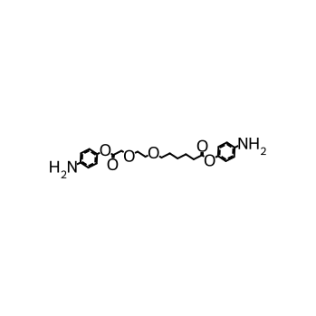 Nc1ccc(OC(=O)CCCCCOCCOCC(=O)Oc2ccc(N)cc2)cc1